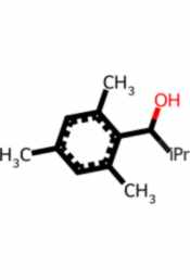 Cc1cc(C)c(C(O)C(C)C)c(C)c1